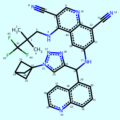 CC(C)(CNc1c(C#N)cnc2c(C#N)cc(NC(c3cn(C45CC(C4)C5)nn3)c3cccc4ncccc34)cc12)C(F)(F)F